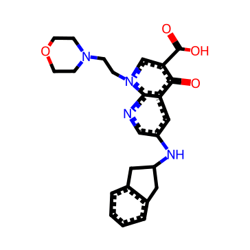 O=C(O)c1cn(CCN2CCOCC2)c2ncc(NC3Cc4ccccc4C3)cc2c1=O